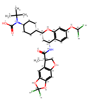 CC(C)(C)N(C(=O)O)[C@H]1CC[C@H]([C@H]2C[C@@H](NC(=O)[C@@]3(C)COc4cc5c(cc43)OC(F)(F)O5)c3ccc(OC(F)F)cc3O2)CC1